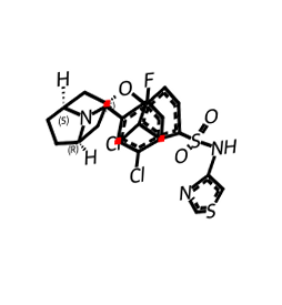 O=S(=O)(Nc1cscn1)c1ccc(O[C@@H]2C[C@H]3CC[C@@H](C2)N3Cc2cc(Cl)ccc2F)c(Cl)c1